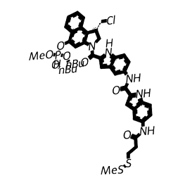 CCCCO[PH](OC)(OCCCC)Oc1cc2c(c3ccccc13)[C@H](CCl)CN2C(=O)c1cc2cc(NC(=O)c3cc4cc(NC(=O)CCSSC)ccc4[nH]3)ccc2[nH]1